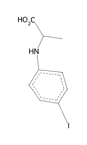 CC(Nc1ccc(I)cc1)C(=O)O